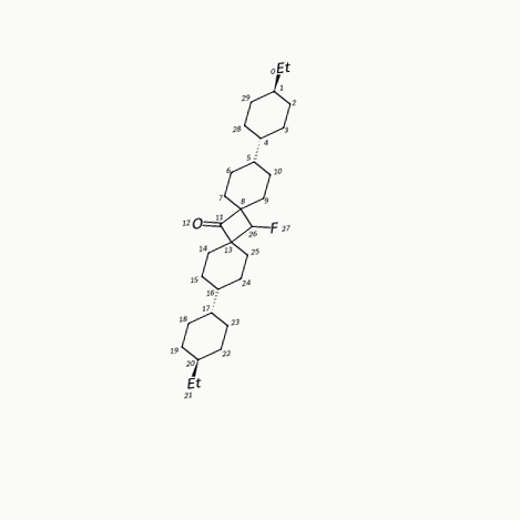 CC[C@H]1CC[C@H](C2CCC3(CC2)C(=O)C2(CCC([C@H]4CC[C@H](CC)CC4)CC2)C3F)CC1